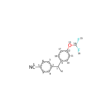 CC(c1ccc(C#N)cc1)c1ccc(OC(F)F)cc1